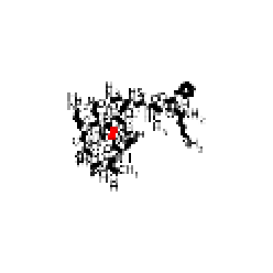 CC(C)[C@H](NC(=O)[C@H](CC(N)=O)NC(=O)[C@H](CS)NC(=O)[C@H](C)NC(=O)[C@H](Cc1ccccc1)NC(=O)[C@@H](N)CCCCN)C(=O)N[C@H](C(=O)N[C@@H](CCC(N)=O)C(=O)N[C@@H](CCCCN)C(=O)N[C@@H](CS)C(=O)N[C@H](C(=O)N[C@H](C(=O)N[C@@H](Cc1c[nH]cn1)C(=O)N[C@@H](C)C(=O)O)[C@@H](C)O)C(C)C)C(C)C